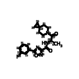 C[C@@H](NC(=O)c1noc(-c2cccc(F)c2)n1)C(=O)N1CCC2(CC1)CC2